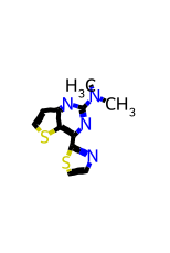 CN(C)c1nc(-c2nccs2)c2sccc2n1